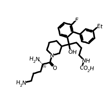 CCc1cccc(-c2c(F)cccc2C(O)(CCCNC(=O)O)C2CCCN(C(=O)[C@@H](N)CCCN)C2)c1